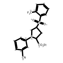 CCOC(=O)C1CC(S(=O)(=O)c2ccccc2C(F)(F)F)CN1c1cccc(C#N)c1